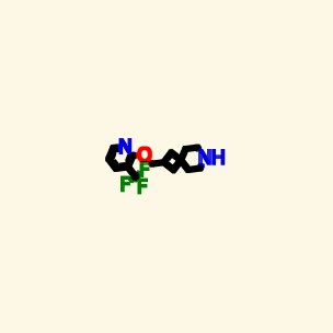 FC(F)(F)c1cccnc1OCC1CC2(CCNCC2)C1